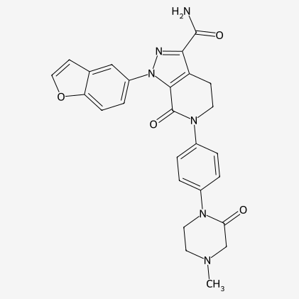 CN1CCN(c2ccc(N3CCc4c(C(N)=O)nn(-c5ccc6occc6c5)c4C3=O)cc2)C(=O)C1